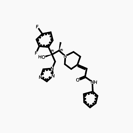 C[C@@H](N1CCC(=CC(=O)Nc2ccccc2)CC1)[C@](O)(Cn1cncn1)c1ccc(F)cc1F